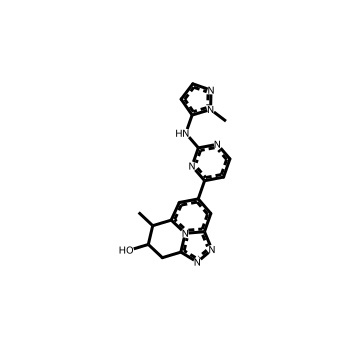 CC1c2cc(-c3ccnc(Nc4ccnn4C)n3)cc3nnc(n23)CC1O